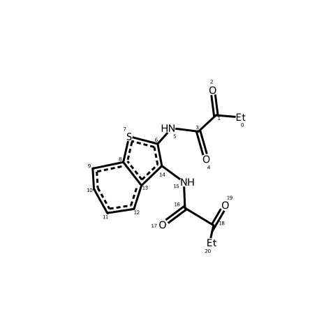 CCC(=O)C(=O)Nc1sc2ccccc2c1NC(=O)C(=O)CC